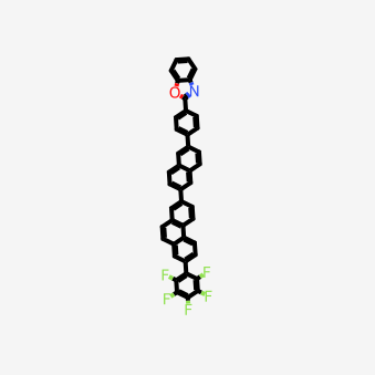 Fc1c(F)c(F)c(-c2ccc3c(ccc4cc(-c5ccc6cc(-c7ccc(-c8nc9ccccc9o8)cc7)ccc6c5)ccc43)c2)c(F)c1F